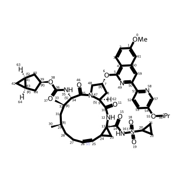 COc1ccc2c(O[C@@H]3C[C@H]4C(=O)N[C@]5(C(=O)NS(=O)(=O)C6CC6)CC5/C=C\CC[C@@H](C)C[C@@H](C)[C@H](NC(=O)O[C@@H]5C[C@@H]6C[C@@H]6C5)C(=O)N4C3)nc(-c3ccc(OC(C)C)cn3)cc2c1